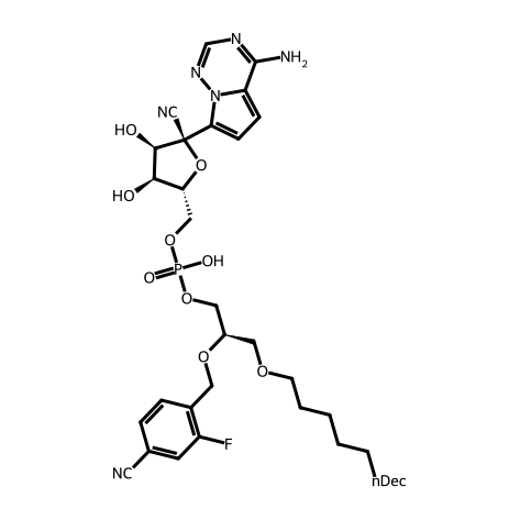 CCCCCCCCCCCCCCCOC[C@H](COP(=O)(O)OC[C@H]1O[C@@](C#N)(c2ccc3c(N)ncnn23)[C@H](O)[C@@H]1O)OCc1ccc(C#N)cc1F